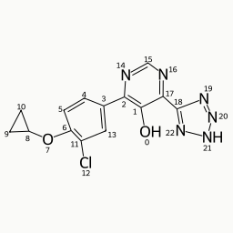 Oc1c(-c2ccc(OC3CC3)c(Cl)c2)ncnc1-c1nn[nH]n1